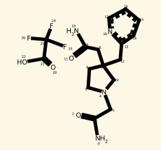 NC(=O)CN1CCC(CC(N)=O)(Cc2ccccn2)C1.O=C(O)C(F)(F)F